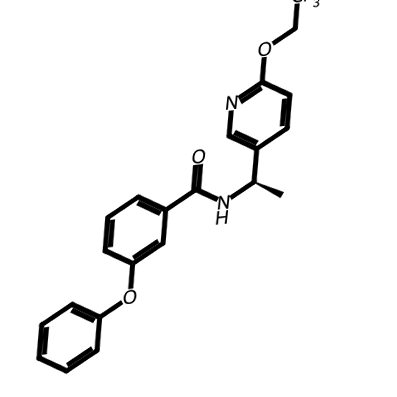 C[C@@H](NC(=O)c1cccc(Oc2ccccc2)c1)c1ccc(OCC(F)(F)F)nc1